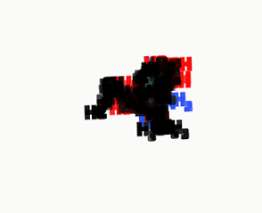 C#Cc1ccc(CNC(C[C@@H](O)O[C@H]2C(Oc3c4cc5cc3Oc3ccc(cc3Cl)[C@@H](O)[C@@H](NC(=O)[C@@H](CC(C)C)NC)C(=O)N[C@@H](CC(N)=O)C(=O)N[C@H]5C(=O)N[C@@H]3C(=O)N[C@H](C(=O)N[C@H](C(=O)O)c5cc(O)cc(O)c5-c5cc3ccc5O)[C@H](O)c3ccc(c(Cl)c3)O4)O[C@H](CO)C(O)C2O)[C@H](O)C(C)C)cc1